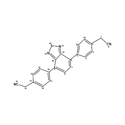 N#CCc1ccc(-c2ccc(-c3ccc(CC#N)cc3)c3nsnc23)cc1